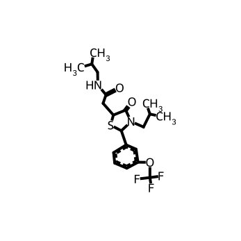 CC(C)CNC(=O)CC1SC(c2cccc(OC(F)(F)F)c2)N(CC(C)C)C1=O